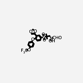 CC(C)(CN(O)C=O)S(=O)(=O)c1ccc(Oc2ccc(OC(F)(F)F)cc2)c(C2=COCO2)c1